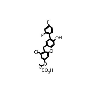 C[C@H](Oc1cc(Cl)c(Cc2ccc(O)c(-c3ccc(F)cc3F)c2)c(Cl)c1)C(=O)O